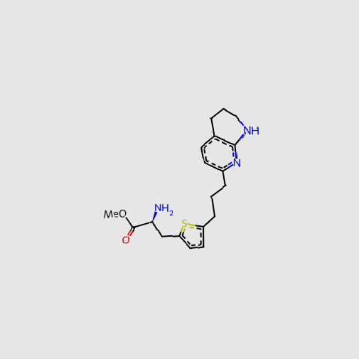 COC(=O)[C@@H](N)Cc1ccc(CCCc2ccc3c(n2)NCCC3)s1